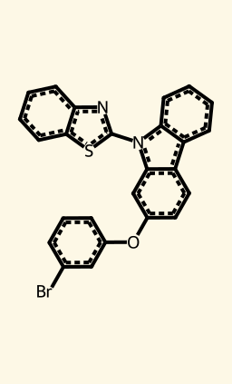 Brc1cccc(Oc2ccc3c4ccccc4n(-c4nc5ccccc5s4)c3c2)c1